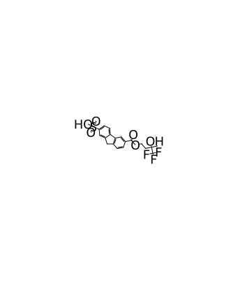 CC(O)(CCOC(=O)c1ccc2c(c1)-c1ccc(S(=O)(=O)O)cc1C2)C(F)(F)F